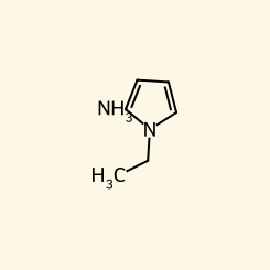 CCn1cccc1.N